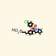 O=C(O)CCCc1ccc(C(CC2CCCC2)NS(=O)(=O)c2ccc(Cl)cc2)cc1